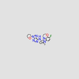 C[C@H](Nc1ncnc2c1ncn2C1CCCCO1)c1nc2ccc(F)c3c2n1CCCO3